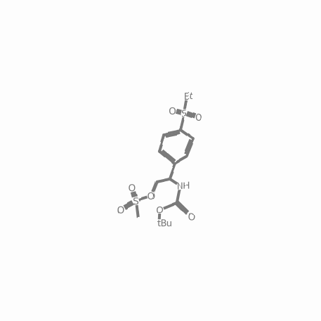 CCS(=O)(=O)c1ccc(C(COS(C)(=O)=O)NC(=O)OC(C)(C)C)cc1